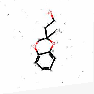 CC1(CCO)COc2ccccc2O1